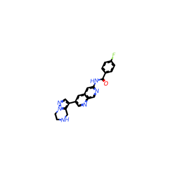 O=C(Nc1cc2cc(-c3cnn4c3CNCC4)cnc2cn1)c1ccc(F)cc1